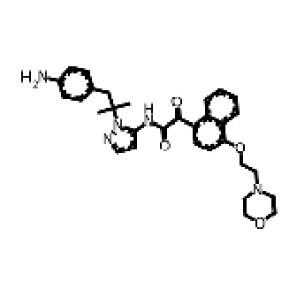 CC(C)(Cc1ccc(N)cc1)n1nccc1NC(=O)C(=O)c1ccc(OCCN2CCOCC2)c2ccccc12